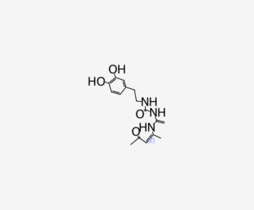 C=C(NC(=O)NCCc1ccc(O)c(O)c1)N/C(C)=C\C(C)=O